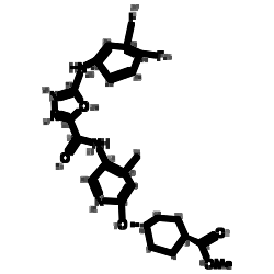 COC(=O)[C@H]1CC[C@H](Oc2cc(C)c(NC(=O)c3nnc(Nc4ccc(F)c(F)c4)o3)cn2)CC1